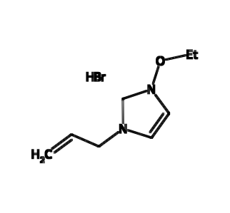 Br.C=CCN1C=CN(OCC)C1